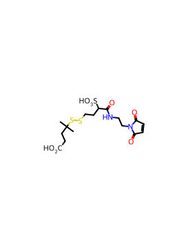 CC(C)(CCC(=O)O)SSCCC(C(=O)NCCN1C(=O)C=CC1=O)S(=O)(=O)O